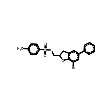 Cc1ccc(S(=O)(=O)OCC2Cc3cc(-c4ccccc4)cc(Br)c3O2)cc1